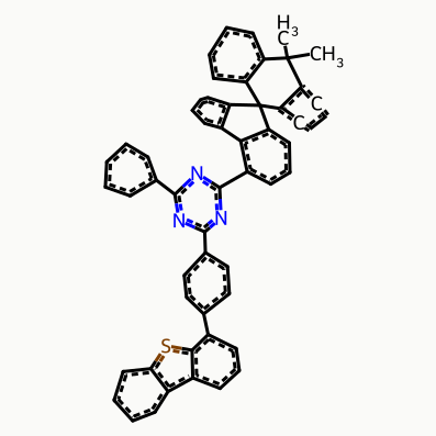 CC1(C)c2ccccc2C2(c3ccccc3-c3c(-c4nc(-c5ccccc5)nc(-c5ccc(-c6cccc7c6sc6ccccc67)cc5)n4)cccc32)c2ccccc21